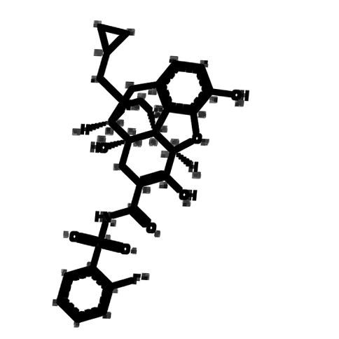 O=C(NS(=O)(=O)c1ccccc1F)C1=C(O)[C@@H]2Oc3c(O)ccc4c3[C@@]23CCN(CC2CC2)[C@H](C4)[C@]3(O)C1